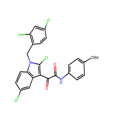 COc1ccc(NC(=O)C(=O)c2c(Cl)n(Cc3ccc(Cl)cc3Cl)c3ccc(Cl)cc23)cc1